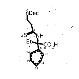 CCCCCCCCCCCCC(=S)NC(CC)(C(=O)O)c1ccccc1